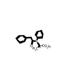 C[C@@H](C(=O)O)N(C(=O)Cc1ccccc1)c1ccccc1